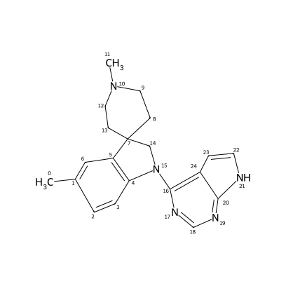 Cc1ccc2c(c1)C1(CCN(C)CC1)CN2c1ncnc2[nH]ccc12